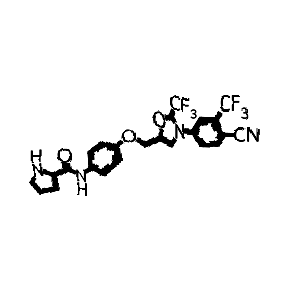 N#Cc1ccc(N2CC(COc3ccc(NC(=O)C4CCCN4)cc3)OC2C(F)(F)F)cc1C(F)(F)F